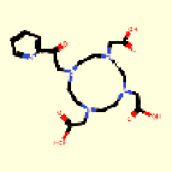 O=C(O)CN1CCN(CC(=O)O)CCN(CC(=O)c2ccccn2)CCN(CC(=O)O)CC1